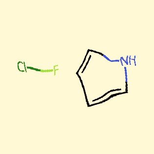 FCl.c1cc[nH]c1